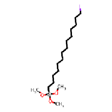 CO[Si](CCCCCCCCCCCCCCI)(OC)OC